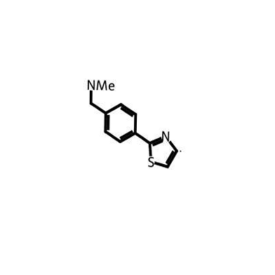 CNCc1ccc(-c2n[c]cs2)cc1